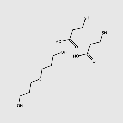 O=C(O)CCS.O=C(O)CCS.OCCCSCCCO